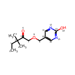 CCC(C)(C)C(=O)COCc1cnc(O)nc1